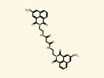 O=C(CC(=O)NCCN1C(=O)c2cccc3cc([N+](=O)[O-])cc(c23)C1=O)NCCN1C(=O)c2cccc3cc([N+](=O)[O-])cc(c23)C1=O